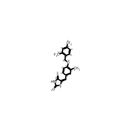 Cc1cc(C=C2SC(=O)NC2=S)ccc1OCc1ccc(C(F)(F)F)cc1C(F)(F)F